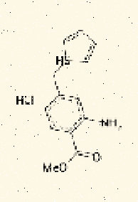 COC(=O)c1ccc(C[SH]2C=CC=C2)cc1N.Cl